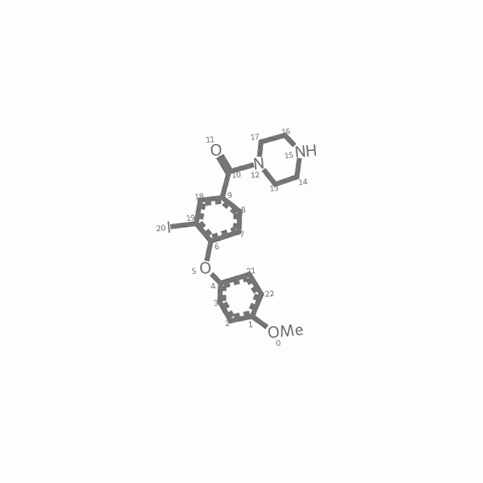 COc1ccc(Oc2ccc(C(=O)N3CCNCC3)cc2I)cc1